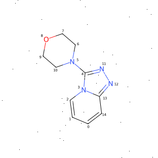 c1ccn2c(N3CCOCC3)nnc2c1